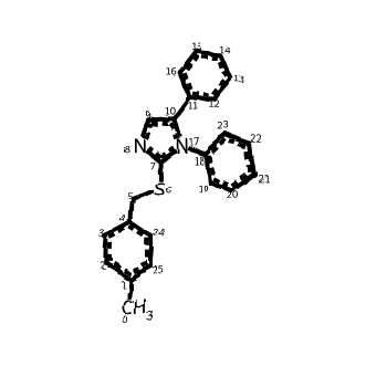 Cc1ccc(CSc2ncc(-c3ccccc3)n2-c2ccccc2)cc1